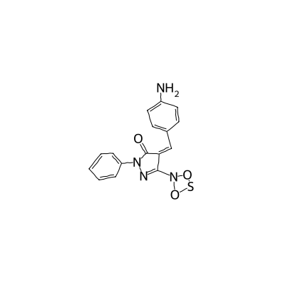 Nc1ccc(/C=C2\C(=O)N(c3ccccc3)N=C2N2OSO2)cc1